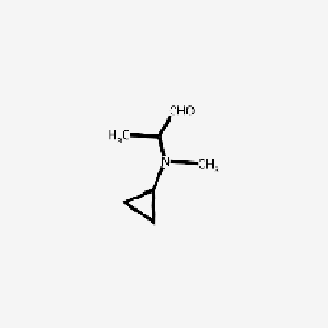 CC(C=O)N(C)C1CC1